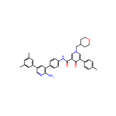 Cc1ccc(-c2cn(CC3CCOCC3)cc(C(=O)Nc3ccc(-c4cc(-c5cc(C)cc(C)c5)cnc4N)cc3)c2=O)cc1